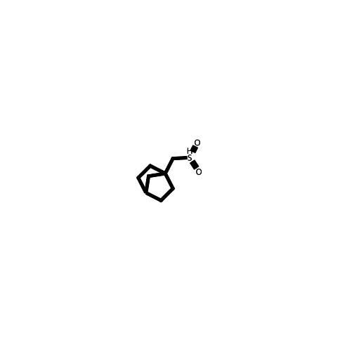 O=[SH](=O)CC12CCC(CC1)C2